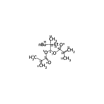 C=C(C)C(=O)OC(OC(=O)C(=C)C)C(C)(CC)CCCC